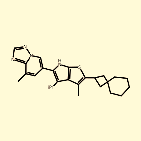 Cc1c(C2CC3(CCCCC3)C2)sc2[nH]c(-c3cc(C)c4ncnn4c3)c(C(C)C)c12